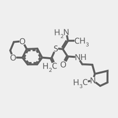 C=C(S/C(C(=O)NCCC1CCCN1C)=C(/C)N)c1ccc2c(c1)OCCO2